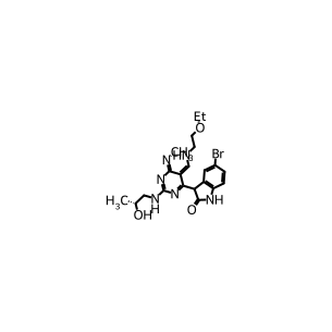 CCOCCN/C=C1/C(C2C(=O)Nc3ccc(Br)cc32)=NC(NC[C@@H](C)O)=N/C1=N/C